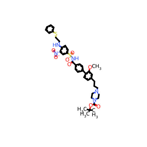 COc1cc(CCCN2CCN(C(=O)OC(C)(C)C)CC2)ccc1-c1ccc(C(=O)NS(=O)(=O)c2ccc(NCCSc3ccccc3)c([N+](=O)[O-])c2)cc1